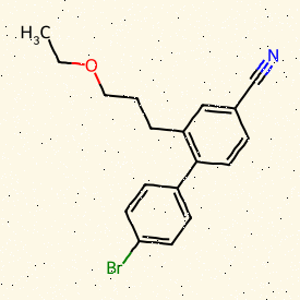 CCOCCCc1cc(C#N)ccc1-c1ccc(Br)cc1